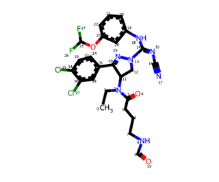 CCN(C(=O)CCCNC=O)C1CN(/C(=N\C#N)Nc2cccc(OC(F)F)c2)N=C1c1ccc(Cl)c(Cl)c1